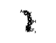 CC(=O)N1CCCN([C@@H](C)COc2ccc(C3(O)CCN(c4ccc5nnc(C(F)(F)F)n5n4)CC3)cc2)CC1